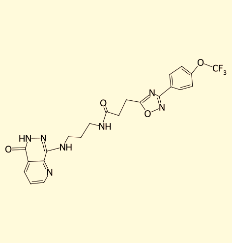 O=C(CCc1nc(-c2ccc(OC(F)(F)F)cc2)no1)NCCCNc1n[nH]c(=O)c2cccnc12